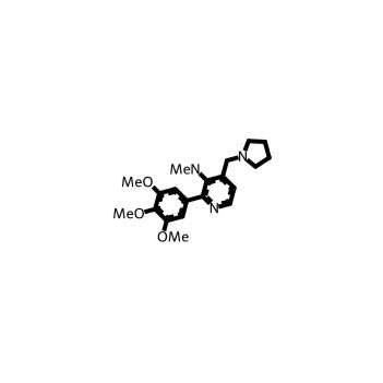 CNc1c(CN2CCCC2)ccnc1-c1cc(OC)c(OC)c(OC)c1